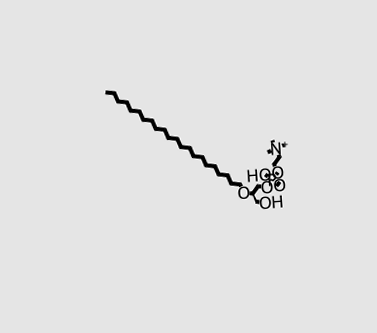 CCCCCCCCCCCCCCCCCCCCCCO[C@H](CO)COP(=O)(O)OCC[N+](C)(C)C